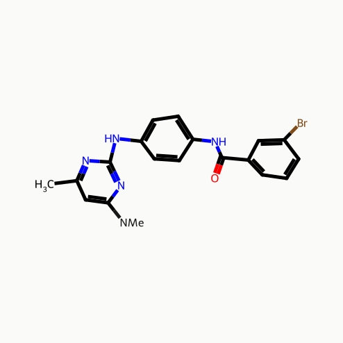 CNc1cc(C)nc(Nc2ccc(NC(=O)c3cccc(Br)c3)cc2)n1